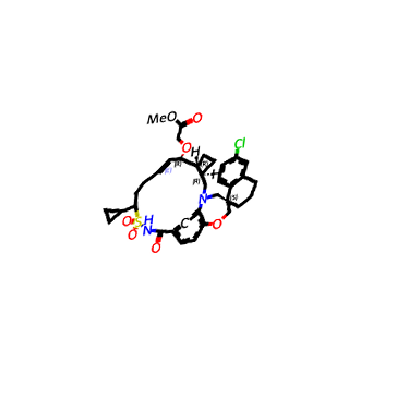 COC(=O)CO[C@H]1/C=C/CCC(C2CC2)S(=O)(=O)NC(=O)c2ccc3c(c2)N(C[C@@H]2CC[C@H]21)C[C@@]1(CCCc2cc(Cl)ccc21)CO3